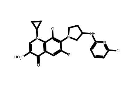 O=C(O)c1cn(C2CC2)c2c(Cl)c(N3CCC(Nc4cccc(Cl)n4)C3)c(F)cc2c1=O